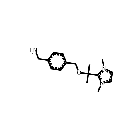 Cn1cc[n+](C)c1C(C)(C)OCc1ccc(CN)cc1